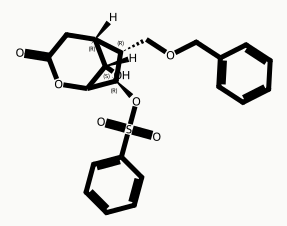 O=C1C[C@@H]2[C@H](COCc3ccccc3)[C@@H](OS(=O)(=O)c3ccccc3)C(O1)[C@H]2O